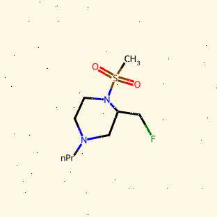 CCCN1CCN(S(C)(=O)=O)C(CF)C1